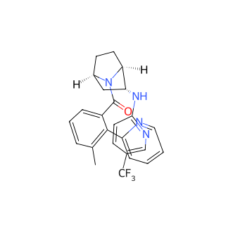 Cc1cccc(C(=O)N2[C@@H]3CC[C@H]2[C@H](Nc2ccc(C(F)(F)F)cn2)C3)c1-c1ccccn1